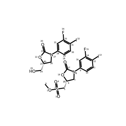 COS(=O)(=O)C[C@H]1CN(c2ccc(I)c(F)c2)C(=O)O1.O=C1O[C@@H](CO)CN1c1ccc(I)c(F)c1